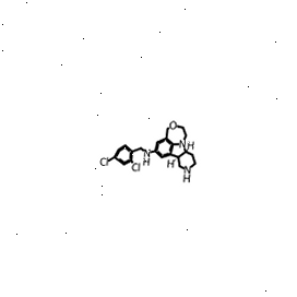 Clc1ccc(CNc2cc3c4c(c2)[C@@H]2CNCC[C@@H]2N4CCOC3)c(Cl)c1